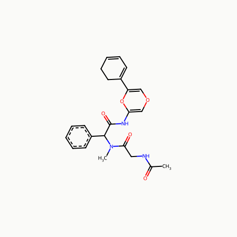 CC(=O)NCC(=O)N(C)C(C(=O)NC1=COC=C(C2=CC=CCC2)O1)c1ccccc1